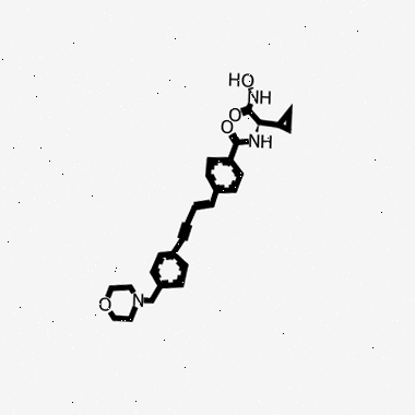 O=C(N[C@H](C(=O)NO)C1CC1)c1ccc(/C=C/C#Cc2ccc(CN3CCOCC3)cc2)cc1